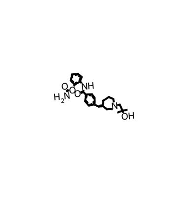 CC(C)(O)CN1CCCC(=Cc2ccc(C(=O)Nc3ccccc3OC(N)=O)cc2)CC1